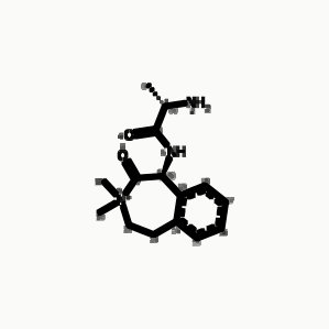 C[C@H](N)C(=O)N[C@@H]1C(=O)[N+](C)(C)CCc2ccccc21